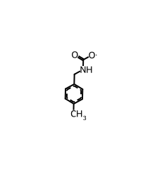 Cc1ccc(CNC([O])=O)cc1